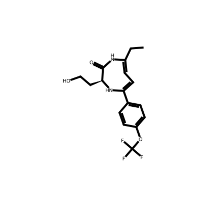 CC/C1=C\C=C(\c2ccc(OC(F)(F)F)cc2)N[C@@H](CCO)C(=O)N1